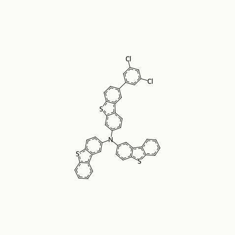 Clc1cc(Cl)cc(-c2ccc3sc4cc(N(c5ccc6sc7ccccc7c6c5)c5ccc6sc7ccccc7c6c5)ccc4c3c2)c1